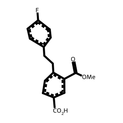 COC(=O)c1cc(C(=O)O)ccc1CCc1ccc(F)cc1